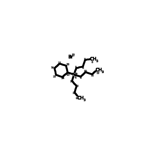 CCCC[N+](CCCC)(CCCC)C1CCCCC1.[Br-]